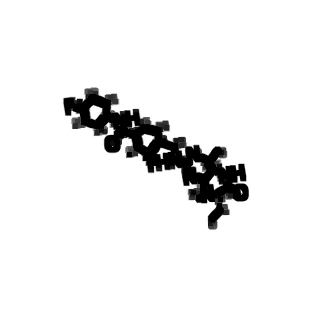 CC[C@H]1C(=O)Nc2c(C)nc(NCc3ccc(C(=O)Nc4ccc(F)cc4)cc3F)nc2N1C